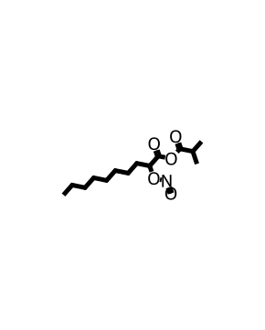 CCCCCCCCC(ON=O)C(=O)OC(=O)C(C)C